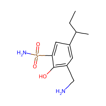 CCC(C)c1cc(CN)c(O)c(S(N)(=O)=O)c1